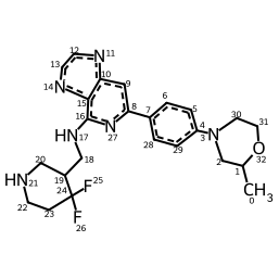 CC1CN(c2ccc(-c3cc4nccnc4c(NCC4CNCCC4(F)F)n3)cc2)CCO1